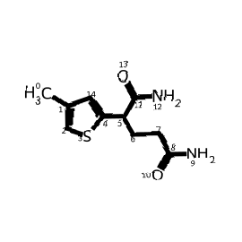 Cc1csc(C(CCC(N)=O)C(N)=O)c1